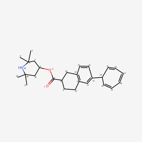 CC1(C)CC(OC(=O)C2CCc3cc(C4C=CC=CC=C4)ccc3C2)CC(C)(C)N1